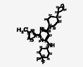 Cc1csc(-c2nc(NC3CCC(F)(F)CC3)cc(N3CCC(C4COC4)CC3)n2)n1